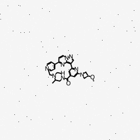 CCN(CC)C(C)CNC(=O)c1cc(-c2cnn3ccc(-c4ccncc4)nc23)nc(N2CC(OC)C2)c1